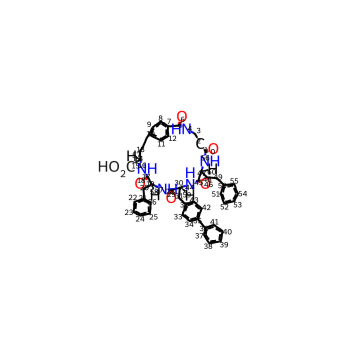 O=C1CCNC(=O)c2ccc(cc2)C[C@@H](C(=O)O)NC(=O)[C@@H](Cc2ccccc2)NC(=O)[C@@H](Cc2ccc(-c3ccccc3)cc2)NC(=O)[C@@H](CCc2ccccc2)N1